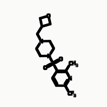 Cc1nc(C(F)(F)F)ccc1S(=O)(=O)N1CCN(CC2COC2)CC1